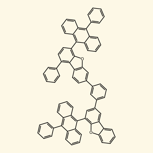 c1ccc(-c2c3ccccc3c(-c3cc(-c4cccc(-c5ccc6c(c5)oc5c(-c7c8ccccc8c(-c8ccccc8)c8ccccc78)ccc(-c7ccccc7)c56)c4)cc4c3oc3ccccc34)c3ccccc23)cc1